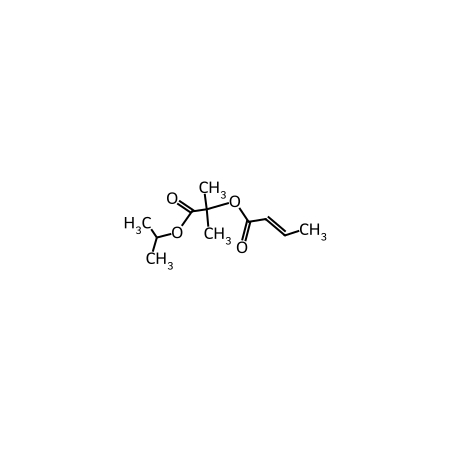 CC=CC(=O)OC(C)(C)C(=O)OC(C)C